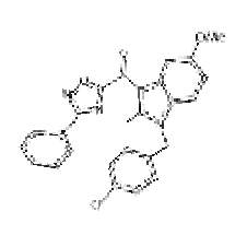 COc1ccc2c(c1)c(C(=O)c1nc(-c3ccccc3)no1)c(C)n2Cc1ccc(Cl)cc1